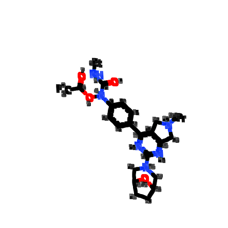 CCNC(=O)N(OC(=O)C(F)(F)F)c1ccc(-c2nc(N3CC4CCC(C3)O4)nc3c2CN(C(C)C)C3)cc1